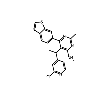 Cc1nc(N)c(C(C)c2ccnc(Cl)c2)c(-c2ccc3ncsc3c2)n1